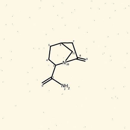 C=C(N)C1CCC2CC(=C)N1C2